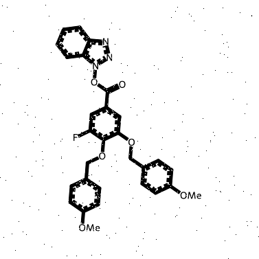 COc1ccc(COc2cc(C(=O)On3nnc4ccccc43)cc(F)c2OCc2ccc(OC)cc2)cc1